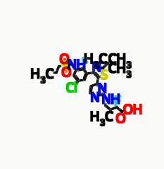 CCCS(=O)(=O)Nc1cc(Cl)cc(-c2nc(C(C)(C)C)sc2-c2ccnc(NCC(C)C(F)C(=O)O)n2)c1F